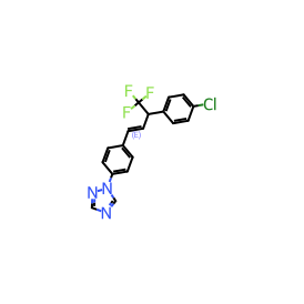 FC(F)(F)C(/C=C/c1ccc(-n2cncn2)cc1)c1ccc(Cl)cc1